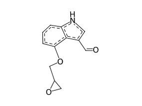 O=Cc1c[nH]c2cccc(OCC3CO3)c12